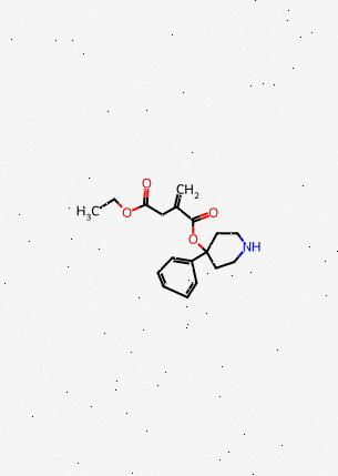 C=C(CC(=O)OCC)C(=O)OC1(c2ccccc2)CCNCC1